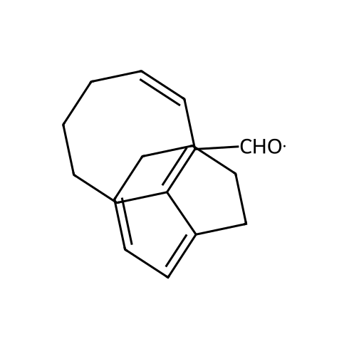 O=[C]C1=C(\C2=C/C=C\CCCC2)CCCC/C=C\1